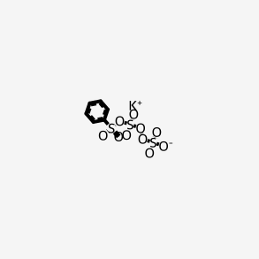 O=S(=O)([O-])OOS(=O)(=O)OS(=O)(=O)c1ccccc1.[K+]